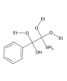 CCOC([SiH3])(OCC)C(O)(OCC)c1ccccc1